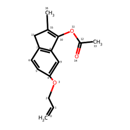 C=CCOc1ccc2c(c1)C(OC(C)=O)=C(C)C2